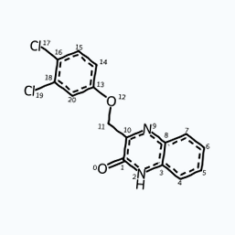 O=c1[nH]c2ccccc2nc1COc1ccc(Cl)c(Cl)c1